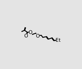 C=C(C)C(=O)OCCOCC/C=C/C=C/CC